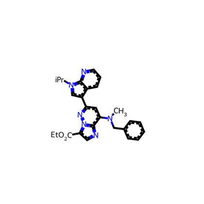 CCOC(=O)c1cnc2c(N(C)Cc3ccccc3)cc(-c3cn(C(C)C)c4ncccc34)nn12